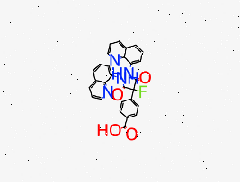 O=C(O)c1ccc(C(F)(C(=O)Nc2cccc3cccnc23)C(=O)Nc2cccc3cccnc23)cc1